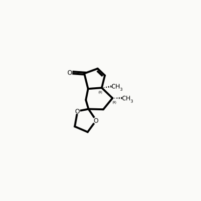 C[C@@H]1CC2(CC3C(=O)C=C[C@]31C)OCCO2